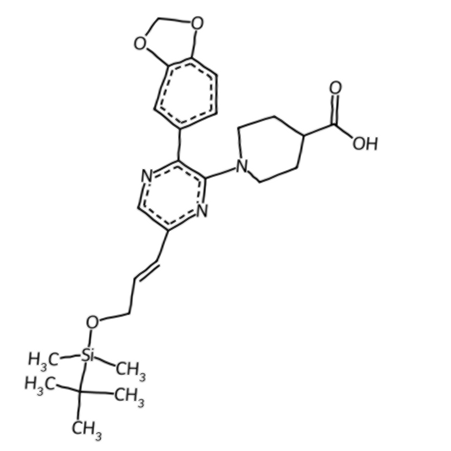 CC(C)(C)[Si](C)(C)OCC=Cc1cnc(-c2ccc3c(c2)OCO3)c(N2CCC(C(=O)O)CC2)n1